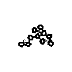 c1ccc([Si](c2ccccc2)(c2ccccc2)c2cc(-c3cccc(-c4cccc5c4oc4ccccc45)c3)cc(-c3cccc(-n4c5ccccc5c5ccccc54)c3)c2)cc1